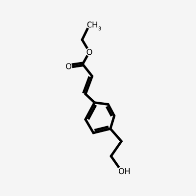 CCOC(=O)/C=C/c1ccc(CCO)cc1